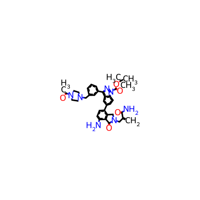 C=C(CN1Cc2c(-c3ccc4c(c3)c(-c3cccc(CN5CCN(C(C)=O)CC5)c3)nn4C(=O)OC(C)(C)C)ccc(N)c2C1=O)C(N)=O